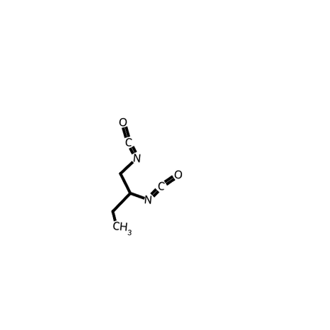 CCC(CN=C=O)N=C=O